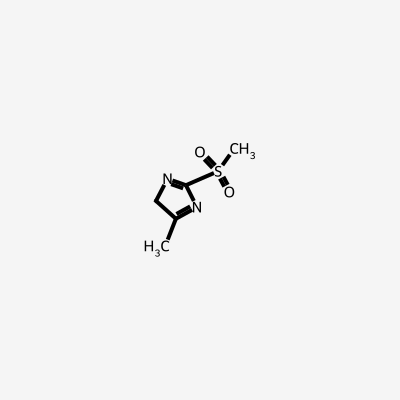 CC1=NC(S(C)(=O)=O)=NC1